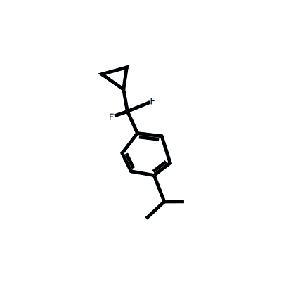 CC(C)c1ccc(C(F)(F)C2CC2)cc1